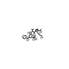 COCCCCn1c(C(C)=O)ccc1C(=O)C(N[C@H]1C[C@@H](C(=O)N2CCOCC2)CN(C(=O)O)C1)C(C)C